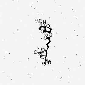 O=C(CCC[C@@H](CO[N+](=O)[O-])O[N+](=O)[O-])O[C@@H]1CO[C@H]2[C@@H]1OC[C@H]2O